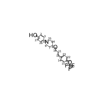 Oc1ccc(N2CCC(OCC=Cc3ccc(OC(F)(F)F)cc3)CC2)cc1